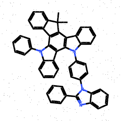 CC1(C)c2ccccc2-c2c1c1c3ccccc3n(-c3ccc(-n4c(-c5ccccc5)nc5ccccc54)cc3)c1c1c3ccccc3n(-c3ccccc3)c21